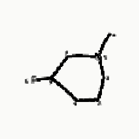 [CH2]N1CCCC(F)C1